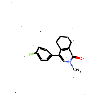 Cn1cc(-c2c[c]c(F)cc2)c2c(c1=O)CCCC2